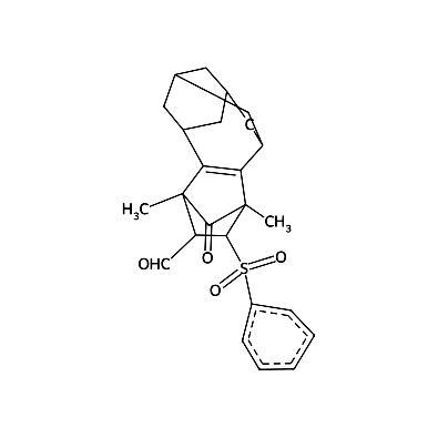 CC12C(=O)C(C)(C3=C1C1CC4CC(C1)CC3C4)C(S(=O)(=O)c1ccccc1)C2C=O